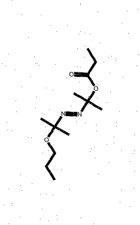 CCCOC(C)(C)N=NC(C)(C)OC(=O)CC